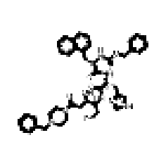 CC(C)CC(NC(=O)[C@@H](Cc1c[nH]cn1)NC(=O)[C@@H](Cc1cccc2ccccc12)NC(=O)OCc1ccccc1)C(O)CC(=O)N1CCN(Cc2ccccc2)CC1